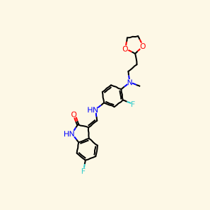 CN(CCC1OCCO1)c1ccc(NC=C2C(=O)Nc3cc(F)ccc32)cc1F